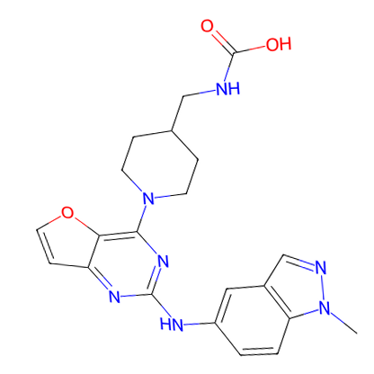 Cn1ncc2cc(Nc3nc(N4CCC(CNC(=O)O)CC4)c4occc4n3)ccc21